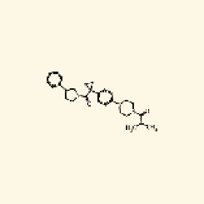 CC(C)C(=O)N1CCN(c2ccc(C3(C(=O)N4CCC(c5ccccc5)C4)CC3)cc2)CC1